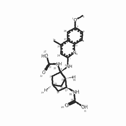 COc1ccc2nc(N[C@]3(NC(=O)O)C[C@@H]4C[C@H](NC(=O)O)[C@H]3C4)cc(C)c2c1